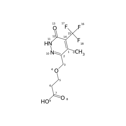 Cc1c(COCCC(=O)O)n[nH]c(=O)c1C(F)(F)F